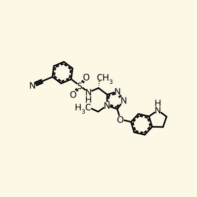 CCn1c(Oc2ccc3c(c2)NCC3)nnc1[C@@H](C)NS(=O)(=O)c1cccc(C#N)c1